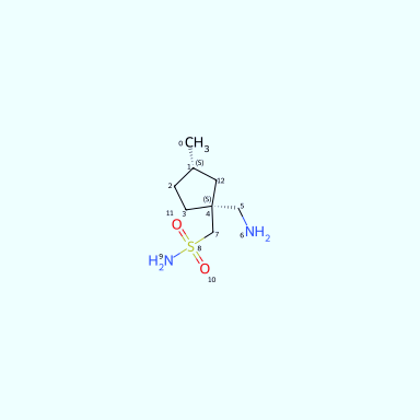 C[C@H]1CC[C@](CN)(CS(N)(=O)=O)C1